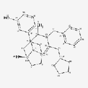 CC(CN1C2CC[C@@H]1CC(c1cccc(O)c1)C2)N(Cc1ccccc1)C(=O)CC1CCCC1